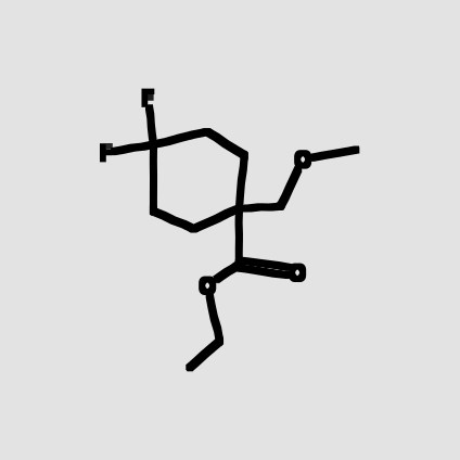 CCOC(=O)C1(COC)CCC(F)(F)CC1